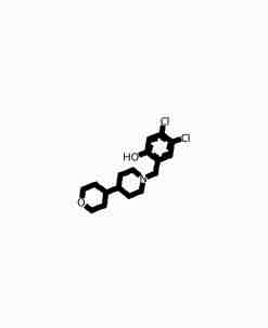 Oc1cc(Cl)c(Cl)cc1CN1CCC(C2CCOCC2)CC1